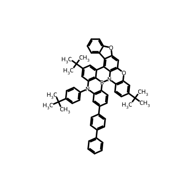 CC(C)(C)c1ccc(N2c3cc(-c4ccc(-c5ccccc5)cc4)ccc3B3c4c(cc(C(C)(C)C)cc42)-c2c4c(cc5oc6ccccc6c25)Oc2cc(C(C)(C)C)ccc2N34)cc1